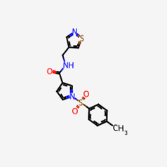 Cc1ccc(S(=O)(=O)n2ccc(C(=O)NCc3cnsc3)c2)cc1